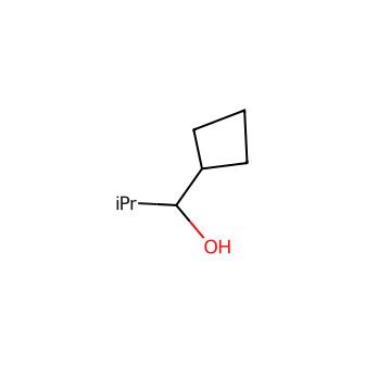 CC(C)C(O)C1CCC1